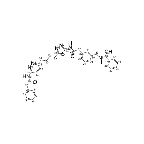 O=C(Cc1ccccc1)Nc1ccc(CCCCc2nnc(NC(=O)Cc3cccc(CNC(O)c4ccccc4)c3)s2)nn1